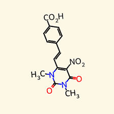 Cn1c(C=Cc2ccc(C(=O)O)cc2)c([N+](=O)[O-])c(=O)n(C)c1=O